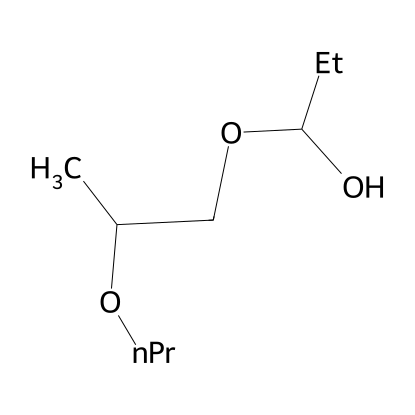 CCCOC(C)COC(O)CC